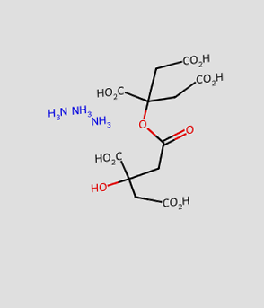 N.N.N.O=C(O)CC(O)(CC(=O)OC(CC(=O)O)(CC(=O)O)C(=O)O)C(=O)O